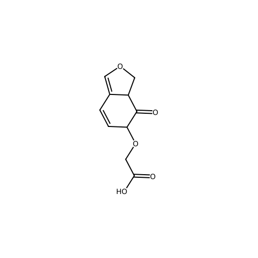 O=C(O)COC1C=CC2=COCC2C1=O